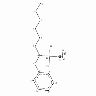 CCCCCCC(Cc1ccccc1)C(C)(C)N.I